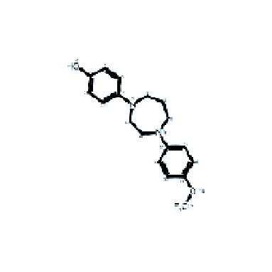 Oc1ccc(N2CCCN(c3ccc(OC(F)(F)F)cc3)CC2)cc1